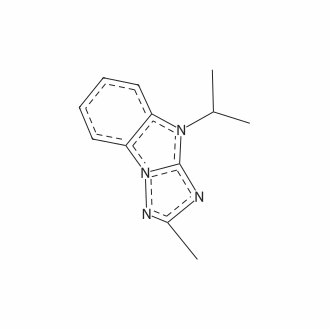 Cc1nc2n(C(C)C)c3ccccc3n2n1